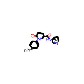 CCCc1ccc(-n2cc(C(=O)NC3CN4CCC3CC4)ccc2=O)cc1